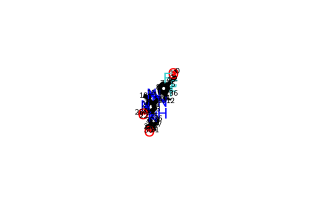 COCC(F)(F)c1cccc([C@@H](C)Nc2nnc(C)c3nc(OC)c(N4CCC5(COC5)C4)cc23)c1F